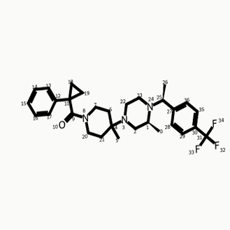 C[C@H]1CN(C2(C)CCN(C(=O)C3(c4ccccc4)CC3)CC2)CCN1[C@@H](C)c1ccc(C(F)(F)F)cc1